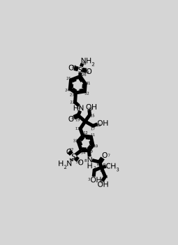 CC(CO)(CO)C(=O)Nc1ccc(CC(CO)(CO)C(=O)NCc2ccc(S(N)(=O)=O)cc2)cc1S(N)(=O)=O